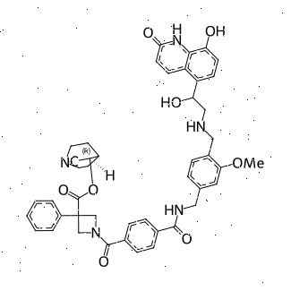 COc1cc(CNC(=O)c2ccc(C(=O)N3CC(C(=O)O[C@H]4CN5CCC4CC5)(c4ccccc4)C3)cc2)ccc1CNCC(O)c1ccc(O)c2[nH]c(=O)ccc12